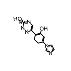 CN/C=C(\N=N/CO)C1=C(O)C=C(n2ccnc2)CC1